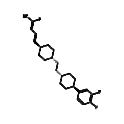 N#C/C(F)=C/C=C/[C@H]1CC[C@H](CC[C@H]2CC[C@H](c3ccc(F)c(F)c3)CC2)CC1